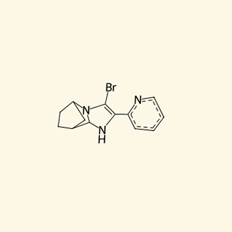 BrC1=C(c2ccccn2)NC2C3CCC(C3)N12